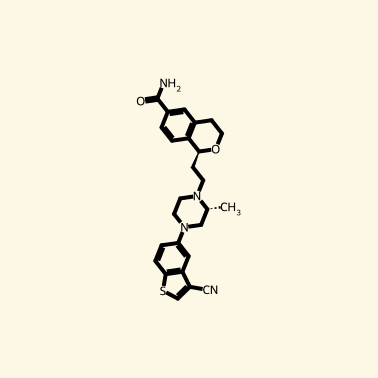 C[C@@H]1CN(c2ccc3scc(C#N)c3c2)CCN1CC[C@@H]1OCCc2cc(C(N)=O)ccc21